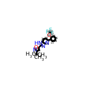 CC(C)(C)c1cc(-c2nc3nc(-c4ccccc4OC(F)(F)F)ccc3[nH]2)on1